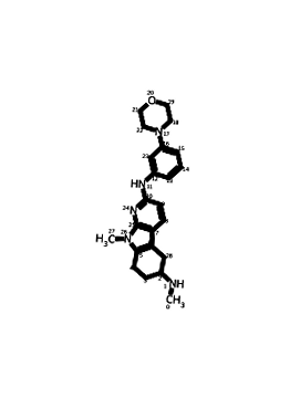 CNC1CCc2c(c3ccc(Nc4cccc(N5CCOCC5)c4)nc3n2C)C1